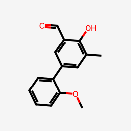 COc1ccccc1-c1cc(C)c(O)c(C=O)c1